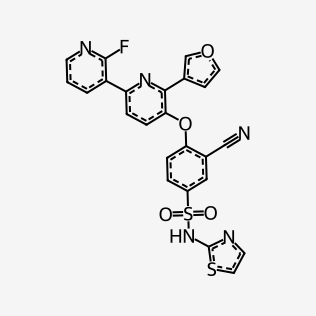 N#Cc1cc(S(=O)(=O)Nc2nccs2)ccc1Oc1ccc(-c2cccnc2F)nc1-c1ccoc1